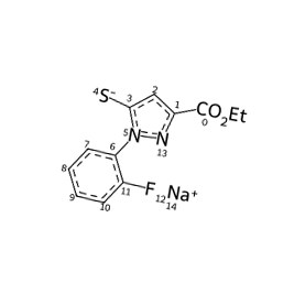 CCOC(=O)c1cc([S-])n(-c2ccccc2F)n1.[Na+]